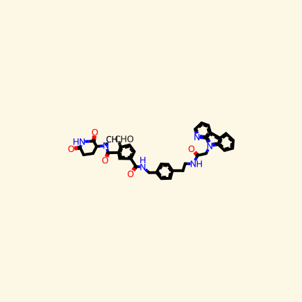 CN(C(=O)c1cc(C(=O)NCc2ccc(CCNC(=O)Cn3c4ccccc4c4cccnc43)cc2)ccc1C=O)C1CCC(=O)NC1=O